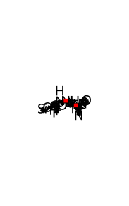 CC(C)(C)[Si](C)(C)OCc1ccc(NC(=O)Nc2ccc(-c3nc(C#N)c(F)c(N4CCOCC4)n3)cc2)cc1C(F)(F)F